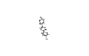 CC1CC=C(C2=CCC(C3CCC(C)CC3)CC2)CC1